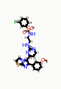 COc1cccc(-c2nc3sccn3c2-c2ccnc(NCCNS(=O)(=O)c3cccc(F)c3)n2)c1